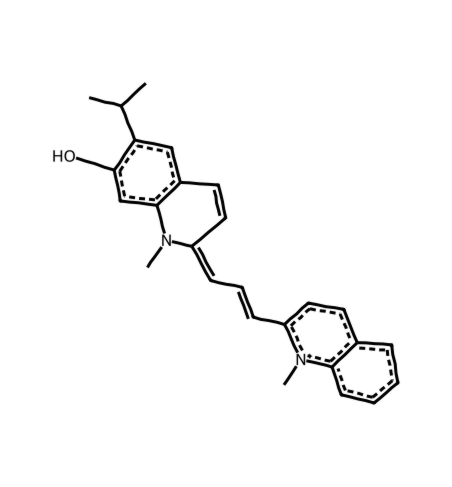 CC(C)c1cc2c(cc1O)N(C)/C(=C/C=C/c1ccc3ccccc3[n+]1C)C=C2